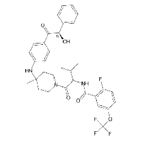 CC(C)C(NC(=O)c1cc(OC(F)(F)F)ccc1F)C(=O)N1CCC(C)(Nc2ccc(C(=O)[C@H](O)c3ccccc3)cc2)CC1